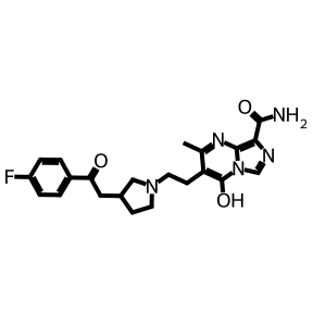 Cc1nc2c(C(N)=O)ncn2c(O)c1CCN1CCC(CC(=O)c2ccc(F)cc2)C1